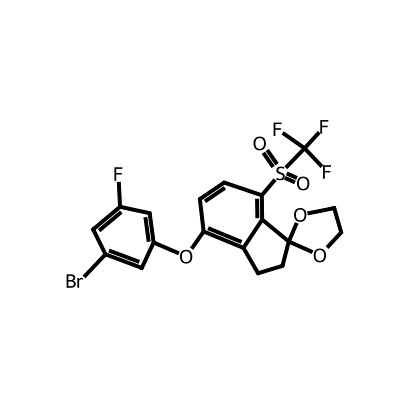 O=S(=O)(c1ccc(Oc2cc(F)cc(Br)c2)c2c1C1(CC2)OCCO1)C(F)(F)F